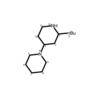 CCCCC1CC(N2CCCCC2)CCN1